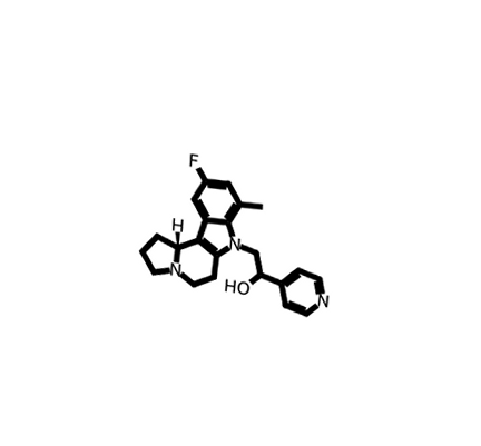 Cc1cc(F)cc2c3c(n(CC(O)c4ccncc4)c12)CCN1CCC[C@H]31